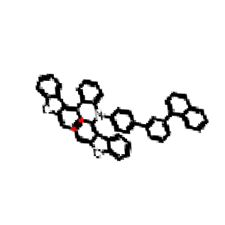 c1cc(-c2ccc(N(c3ccccc3-c3cccc4oc5ccccc5c34)c3cccc4oc5ccccc5c34)cc2)cc(-c2cccc3ccccc23)c1